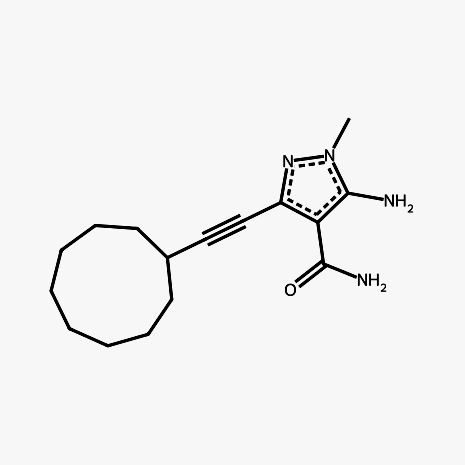 Cn1nc(C#CC2CCCCCCCC2)c(C(N)=O)c1N